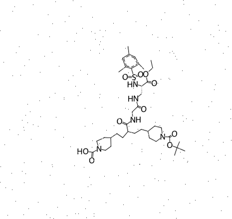 CCOC(=O)[C@H](CNC(=O)CNC(=O)C(CCC1CCN(C(=O)O)CC1)CCC1CCN(C(=O)OC(C)(C)C)CC1)NS(=O)(=O)c1c(C)cc(C)cc1C